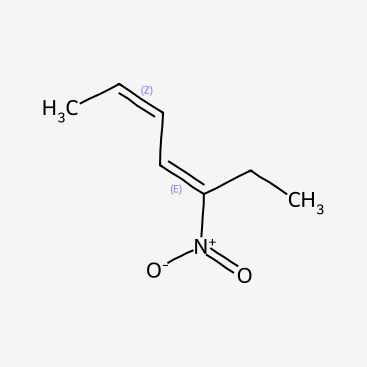 C/C=C\C=C(/CC)[N+](=O)[O-]